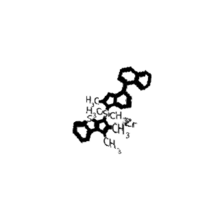 CC1=Cc2c(-c3cccc4ccccc34)cccc2C1[Si](C)(C)C1C(C)=C(C)c2c1sc1ccccc21.[Zr]